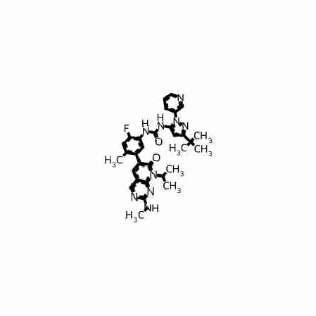 CNc1ncc2cc(-c3cc(NC(=O)Nc4cc(C(C)(C)C)nn4-c4cccnc4)c(F)cc3C)c(=O)n(C(C)C)c2n1